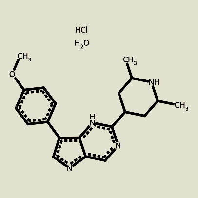 COc1ccc(-c2cnc3cnc(C4CC(C)NC(C)C4)[nH]c2-3)cc1.Cl.O